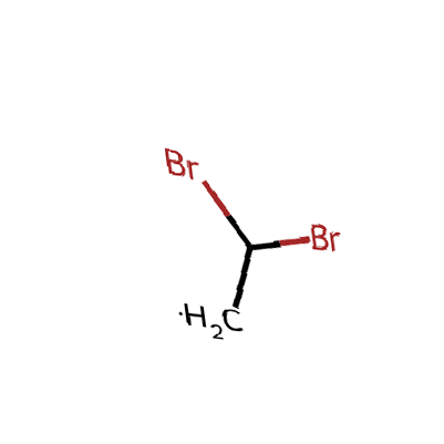 [CH2]C(Br)Br